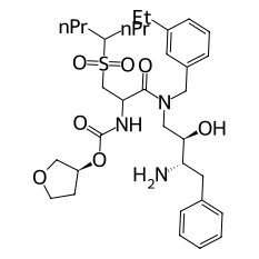 CCCC(CCC)S(=O)(=O)CC(NC(=O)O[C@H]1CCOC1)C(=O)N(Cc1cccc(CC)c1)C[C@@H](O)[C@@H](N)Cc1ccccc1